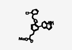 COC(=O)CCc1ccc(OCc2ccccc2Cl)c(-c2ccc3[nH]ccc3c2)c1